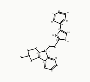 CN1CCc2c(c3ccccc3n2CCc2nc(-c3ccccc3)cs2)C1